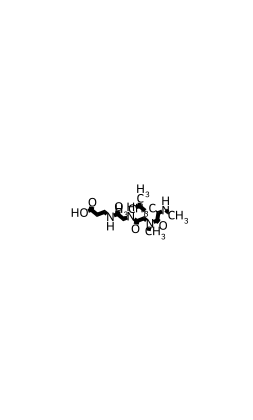 CN[C@@H](C)C(=O)N(C)[C@@H](CC(C)C)C(=O)NCC(=O)NCCC(=O)O